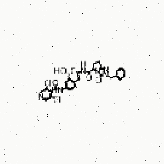 O=C(Nc1ccc(C[C@H](NC(=O)C2CCc3nn(Cc4ccccc4)c(=O)n32)C(=O)O)cc1)c1c(Cl)cncc1Cl